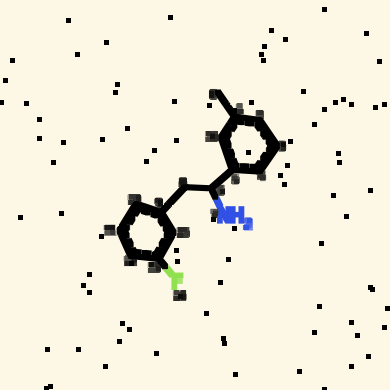 Cc1cccc(C(N)Cc2cccc(F)c2)c1